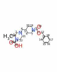 C[C@@H]1CN(CC2CCN(C(=O)OCc3ccccc3)CC2)CCN1C(=O)O